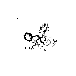 CN(C)C(=O)C(CC(=O)O)(Cc1ccccc1)N(C)C(=O)OC(C)(C)C